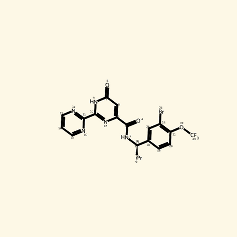 CC(C)[C@@H](NC(=O)c1cc(=O)[nH]c(-c2ncccn2)n1)c1ccc(OC(F)(F)F)c(Br)c1